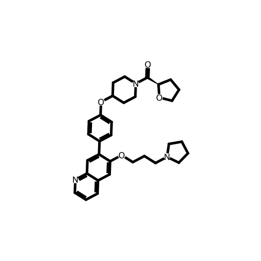 O=C([C@H]1CCCO1)N1CCC(Oc2ccc(-c3cc4ncccc4cc3OCCCN3CCCC3)cc2)CC1